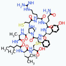 CC[C@H](C)[C@H](NC(=O)[C@H](C)NC(=O)[C@@H]1CCCN1C(=O)[C@H](Cc1ccccc1)NC(=O)[C@H](Cc1ccc(O)cc1)NC(=O)[C@H](CCC(N)=O)NC(=O)[C@H](CCCNC(=N)N)NC(=O)[C@@H](N)CS)C(=O)N[C@@H](CC(C)C)C(=O)N[C@@H](CS)C(=O)O